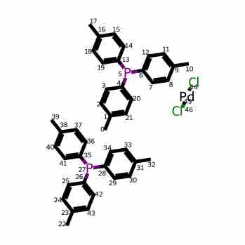 Cc1ccc(P(c2ccc(C)cc2)c2ccc(C)cc2)cc1.Cc1ccc(P(c2ccc(C)cc2)c2ccc(C)cc2)cc1.[Cl][Pd][Cl]